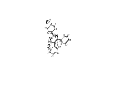 Brc1ccc(-c2nc(-c3ccccc3)c3c(n2)sc2ccccc23)cc1